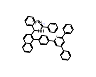 N/N=C(\NC(c1ccccc1)c1ccc2ccccc2c1-c1ccc(-c2cc(-c3ccccc3)cc(-c3ccccc3)n2)cc1)c1ccccc1